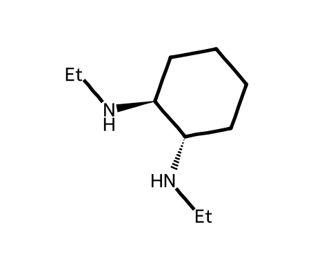 CCN[C@H]1CCCC[C@@H]1NCC